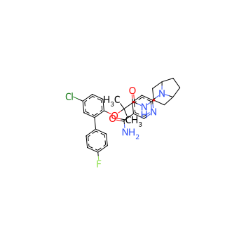 CC(C)(Oc1ccc(Cl)cc1-c1ccc(F)cc1)C(=O)NC1CC2CCC(C1)N2c1ccc(C(N)=O)cn1